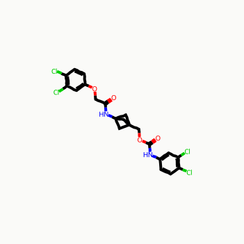 O=C(COc1ccc(Cl)c(Cl)c1)NC12CC(COC(=O)Nc3ccc(Cl)c(Cl)c3)(C1)C2